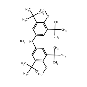 B.COc1c(C(C)(C)C)cc(Pc2cc(C(C)(C)C)c(OC)c(C(C)(C)C)c2)cc1C(C)(C)C